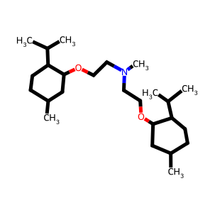 CC1CCC(C(C)C)C(OCCN(C)CCOC2CC(C)CCC2C(C)C)C1